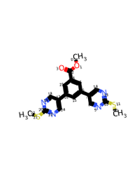 COC(=O)c1cc(-c2cnc(SC)nc2)cc(-c2cnc(SC)nc2)c1